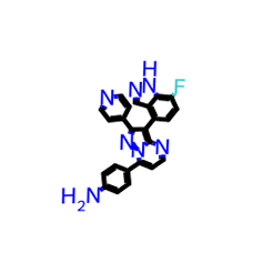 Nc1ccc(-c2ccnc3c(-c4ccc(F)c5[nH]ncc45)c(-c4ccncc4)nn23)cc1